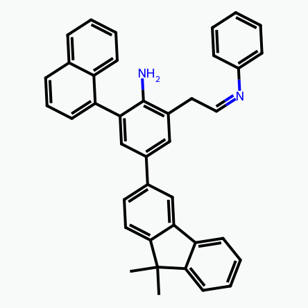 CC1(C)c2ccccc2-c2cc(-c3cc(C/C=N\c4ccccc4)c(N)c(-c4cccc5ccccc45)c3)ccc21